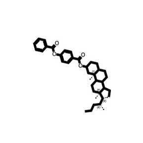 CCC[C@@H](C)[C@H]1CCC2C3CCC4CCC(OC(=O)c5ccc(OC(=O)c6ccccc6)cc5)C[C@]4(C)C3CC[C@@]21C